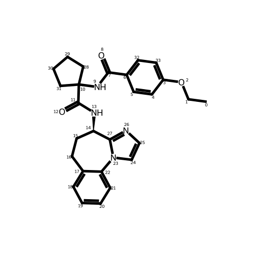 CCOc1ccc(C(=O)NC2(C(=O)N[C@@H]3CCc4ccccc4-n4ccnc43)CCCC2)cc1